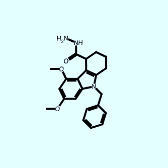 COc1cc(OC)c2c3c(n(Cc4ccccc4)c2c1)CCCC3C(=O)NN